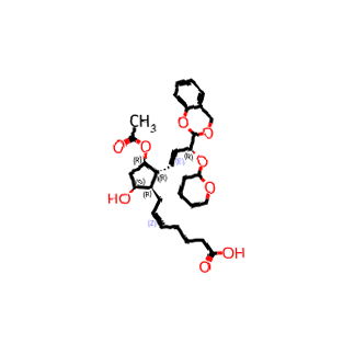 CC(=O)O[C@@H]1C[C@H](O)[C@H](C/C=C\CCCC(=O)O)[C@H]1/C=C/[C@@H](OC1CCCCO1)C1OCc2ccccc2O1